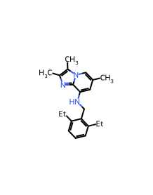 CCc1cccc(CC)c1CNc1cc(C)cn2c(C)c(C)nc12